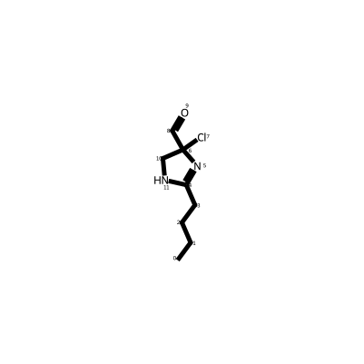 CCCCC1=NC(Cl)(C=O)CN1